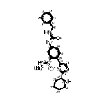 CC(C)(C)N[S+]([O-])c1cc(NC(=O)NCc2ccccc2)ccc1-c1cnc([C@@H]2CCCCN2)s1